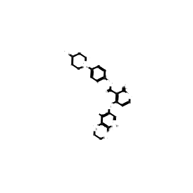 Cc1c(Nc2cc[nH]c(=O)c2C(=O)Nc2ccc(N3CCC(N)CC3)cc2)cnc2c1NCCO2